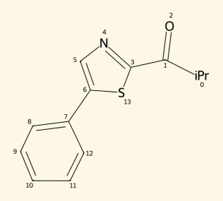 CC(C)C(=O)c1ncc(-c2ccccc2)s1